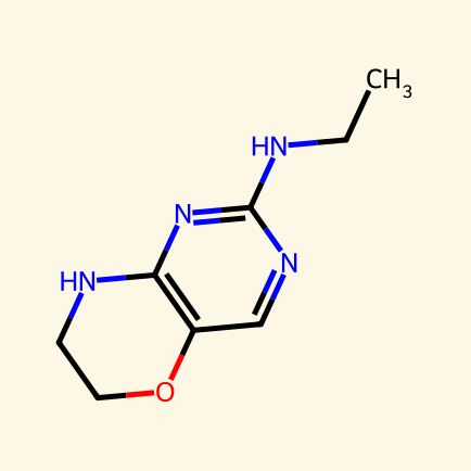 CCNc1ncc2c(n1)NCCO2